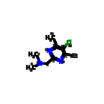 CCc1nc(CN(C)C)nc(C)c1Cl